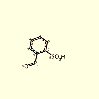 O=Pc1ccccc1S(=O)(=O)O